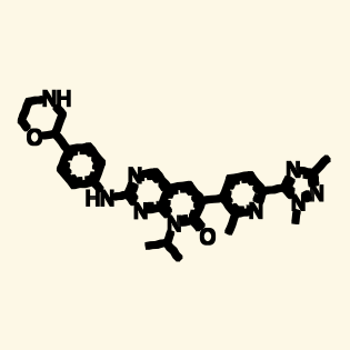 Cc1nc(-c2ccc(-c3cc4cnc(Nc5ccc(C6CNCCO6)cc5)nc4n(C(C)C)c3=O)c(C)n2)n(C)n1